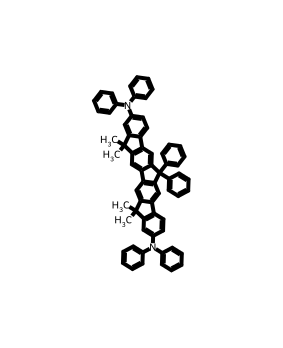 CC1(C)c2cc(N(c3ccccc3)c3ccccc3)ccc2-c2cc3c(cc21)-c1cc2c(cc1C3(c1ccccc1)c1ccccc1)-c1ccc(N(c3ccccc3)c3ccccc3)cc1C2(C)C